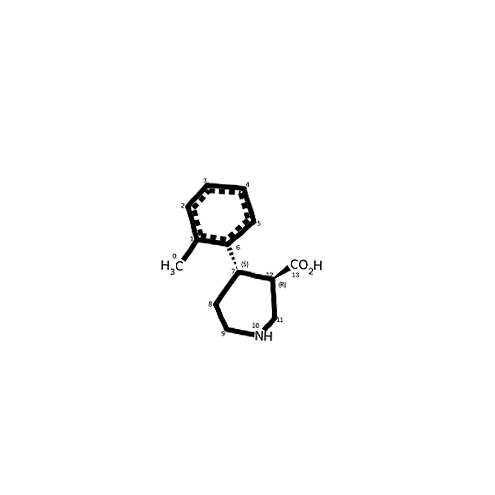 Cc1ccccc1[C@H]1CCNC[C@@H]1C(=O)O